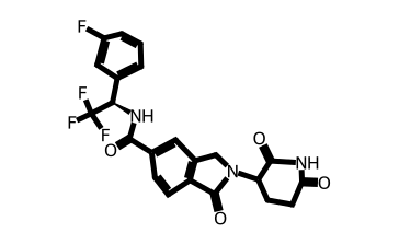 O=C1CCC(N2Cc3cc(C(=O)N[C@H](c4cccc(F)c4)C(F)(F)F)ccc3C2=O)C(=O)N1